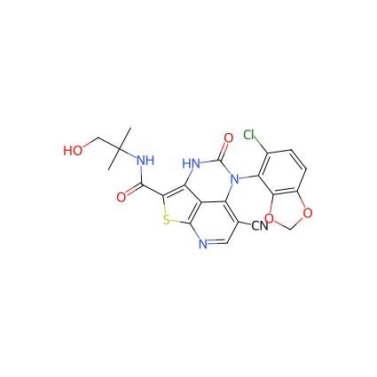 CC(C)(CO)NC(=O)c1sc2ncc(C#N)c3c2c1NC(=O)N3c1c(Cl)ccc2c1OCO2